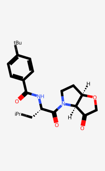 CC(C)C[C@H](NC(=O)c1ccc(C(C)(C)C)cc1)C(=O)N1CC[C@H]2OCC(=O)[C@H]21